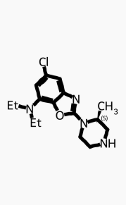 CCN(CC)c1cc(Cl)cc2nc(N3CCNC[C@@H]3C)oc12